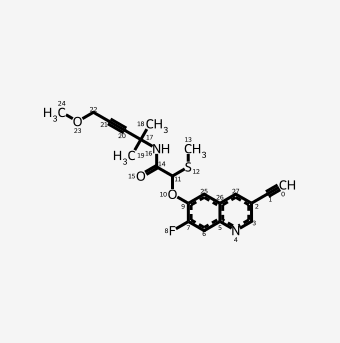 C#Cc1cnc2cc(F)c(OC(SC)C(=O)NC(C)(C)C#CCOC)cc2c1